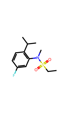 CCS(=O)(=O)N(C)c1cc(F)ccc1C(C)C